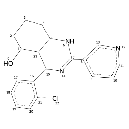 OC1CCCC2NC(c3cccnc3)=NC(c3ccccc3Cl)C12